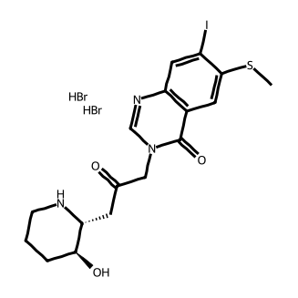 Br.Br.CSc1cc2c(=O)n(CC(=O)C[C@H]3NCCC[C@@H]3O)cnc2cc1I